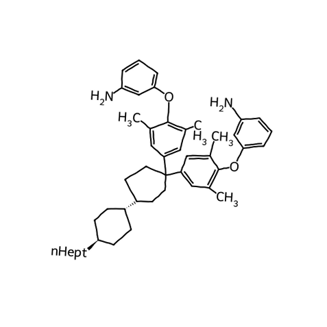 CCCCCCC[C@H]1CC[C@H](C2CCC(c3cc(C)c(Oc4cccc(N)c4)c(C)c3)(c3cc(C)c(Oc4cccc(N)c4)c(C)c3)CC2)CC1